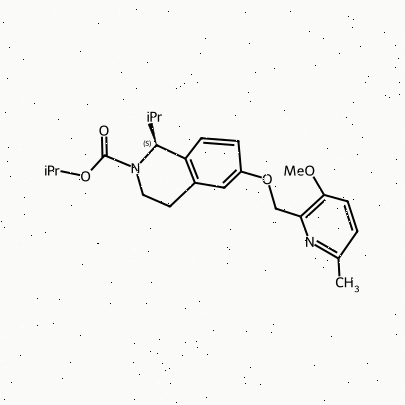 COc1ccc(C)nc1COc1ccc2c(c1)CCN(C(=O)OC(C)C)[C@H]2C(C)C